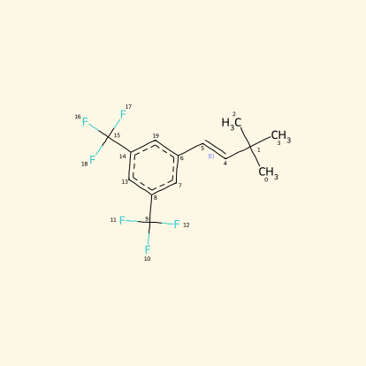 CC(C)(C)/C=C/c1cc(C(F)(F)F)cc(C(F)(F)F)c1